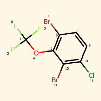 FC(F)(F)Oc1c(Br)c[c]c(Cl)c1Br